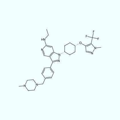 CCNc1cc2c(cn1)c(-c1ccc(CN3CCN(C)CC3)cc1)nn2[C@H]1CC[C@@H](Oc2cnn(C)c2C(F)(F)F)CC1